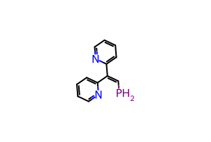 PC=C(c1ccccn1)c1ccccn1